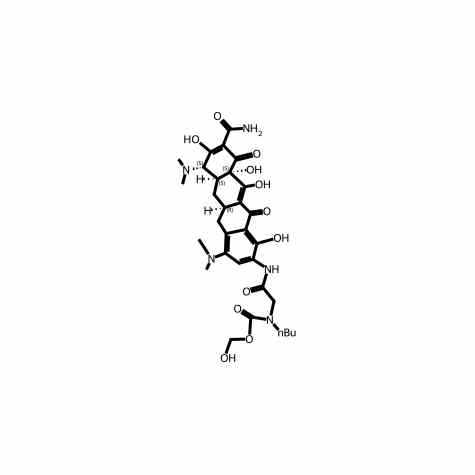 CCCCN(CC(=O)Nc1cc(N(C)C)c2c(c1O)C(=O)C1=C(O)[C@]3(O)C(=O)C(C(N)=O)=C(O)[C@@H](N(C)C)[C@@H]3C[C@@H]1C2)C(=O)OCO